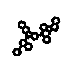 c1ccc(-c2ccc(-n3c4ccc(N(c5ccccc5)c5cccc6c5sc5ccc7ccccc7c56)cc4c4cc5ccccc5cc43)c3ccccc23)cc1